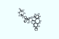 CN1CCN(COC(=O)N2CCC(=C3c4ccc(Cl)cc4CCc4cccnc43)CC2)CC1